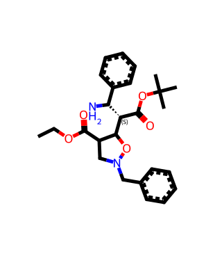 CCOC(=O)C1CN(Cc2ccccc2)OC1[C@@H](C(=O)OC(C)(C)C)C(N)c1ccccc1